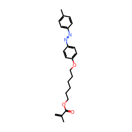 C=C(C)C(=O)OCCCCCCOc1ccc(N=Nc2ccc(C)cc2)cc1